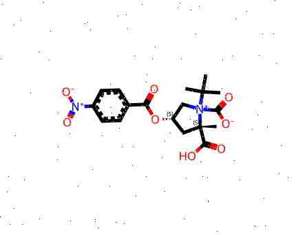 CC(C)(C)[N+]1(C(=O)[O-])C[C@@H](OC(=O)c2ccc([N+](=O)[O-])cc2)C[C@@]1(C)C(=O)O